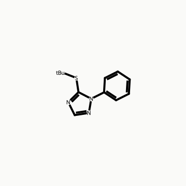 CC(C)(C)Sc1ncnn1-c1ccccc1